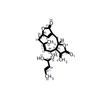 C=C1C(=O)O[C@H]2CC3=C[C@@H](C/C(C)=C/[C@@H](OC(O)/C=C/C)[C@H]12)OC3=O